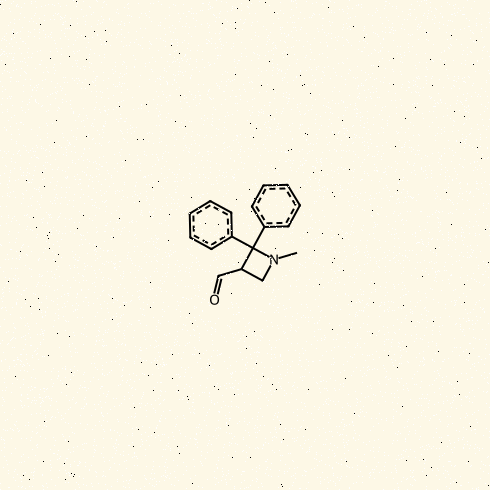 CN1CC(C=O)C1(c1ccccc1)c1ccccc1